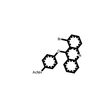 CC(=O)Nc1ccc(Oc2c3ccccc3nc3cccc(Br)c23)cc1